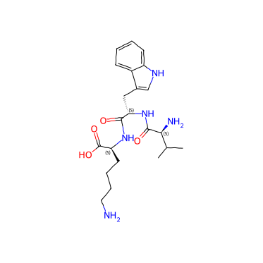 CC(C)[C@H](N)C(=O)N[C@@H](Cc1c[nH]c2ccccc12)C(=O)N[C@@H](CCCCN)C(=O)O